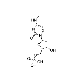 CNc1ccn([C@H]2C[C@H](O)[C@@H](COP(=O)(O)O)O2)c(=O)n1